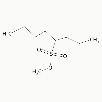 CCCCC(CCC)S(=O)(=O)OC